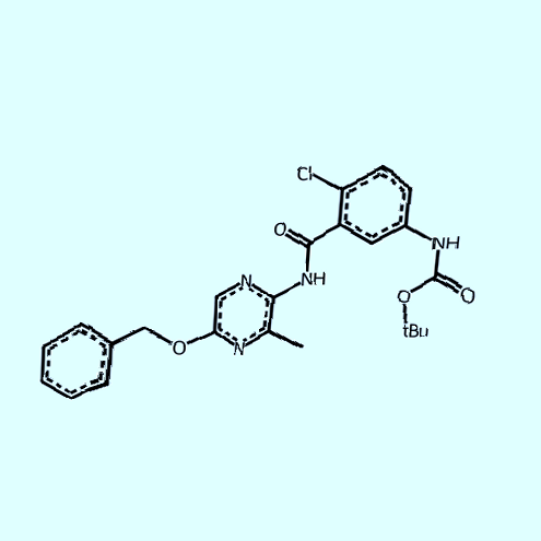 Cc1nc(OCc2ccccc2)cnc1NC(=O)c1cc(NC(=O)OC(C)(C)C)ccc1Cl